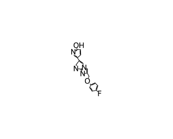 Oc1ccc(-c2cnc3nc(COc4ccc(F)cc4)cn3c2)cn1